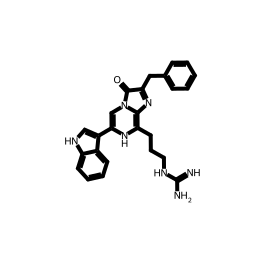 N=C(N)NCCCc1[nH]c(-c2c[nH]c3ccccc23)cn2c(=O)c(Cc3ccccc3)nc1-2